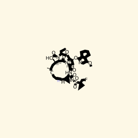 COc1cnc(O[C@@H]2C[C@H]3C(=O)N[C@]4(C(=O)NS(=O)(=O)C5(CF)CC5)C[C@H]4/C=C\CC[C@H](C)C[C@@H](C)[C@H](N(C(=O)O)C4CCOC4)C(=O)N3C2C)c2ccccc12